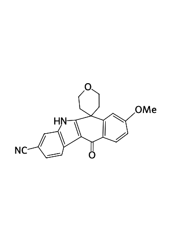 COc1ccc2c(c1)C1(CCOCC1)c1[nH]c3cc(C#N)ccc3c1C2=O